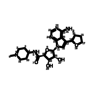 CN1CCC(NC(=O)[C@H]2O[C@@H](n3cc(C4CCCO4)c4c(N)ncnc43)[C@H](O)[C@@H]2O)CC1